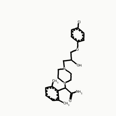 Cc1cccc(C)c1C(C(N)=O)N1CCN(CC(O)COc2ccc(Cl)cc2)CC1